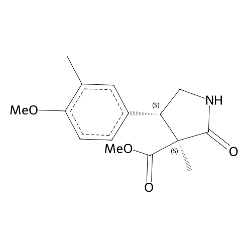 COC(=O)[C@]1(C)C(=O)NC[C@H]1c1ccc(OC)c(C)c1